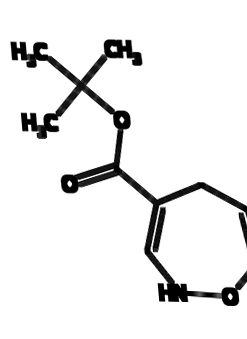 CC(C)(C)OC(=O)C1=CNOC=CC1